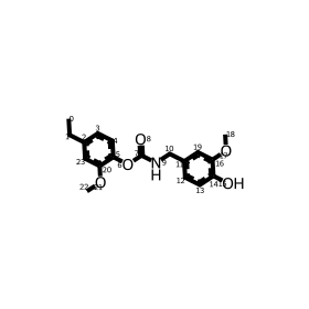 CCc1ccc(OC(=O)NCc2ccc(O)c(OC)c2)c(OC)c1